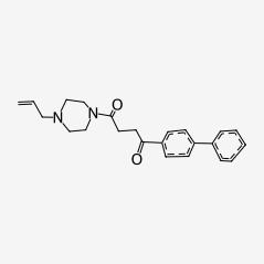 C=CCN1CCN(C(=O)CCC(=O)c2ccc(-c3ccccc3)cc2)CC1